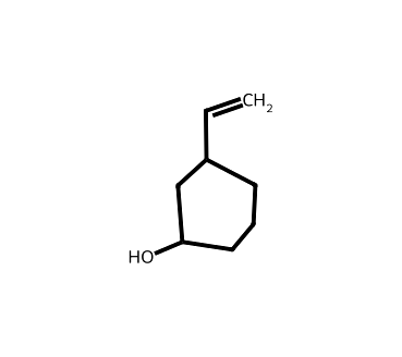 C=CC1CCCC(O)C1